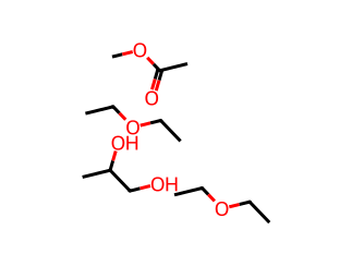 CC(O)CO.CCOCC.CCOCC.COC(C)=O